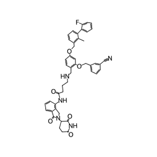 Cc1c(COc2ccc(CNCCCC(=O)Nc3cccc4c3CN(C3CCC(=O)NC3=O)C4=O)c(OCc3cccc(C#N)c3)c2)cccc1-c1ccccc1F